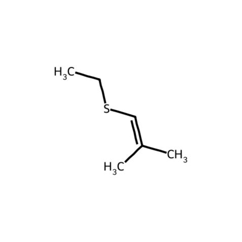 CCSC=C(C)C